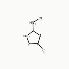 ONC1NCC(Cl)S1